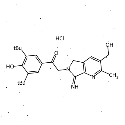 Cc1nc2c(cc1CO)CN(CC(=O)c1cc(C(C)(C)C)c(O)c(C(C)(C)C)c1)C2=N.Cl